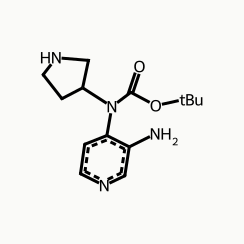 CC(C)(C)OC(=O)N(c1ccncc1N)C1CCNC1